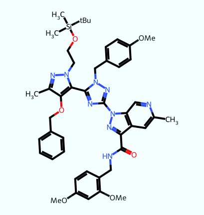 COc1ccc(Cn2nc(-n3nc(C(=O)NCc4ccc(OC)cc4OC)c4cc(C)ncc43)nc2-c2c(OCc3ccccc3)c(C)nn2CCO[Si](C)(C)C(C)(C)C)cc1